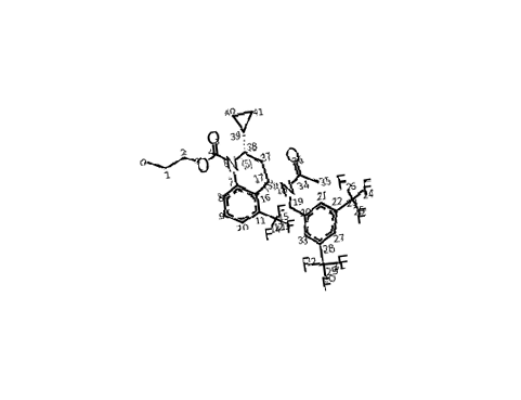 CCCOC(=O)N1c2cccc(C(F)(F)F)c2[C@@H](N(Cc2cc(C(F)(F)F)cc(C(F)(F)F)c2)C(C)=O)C[C@H]1C1CC1